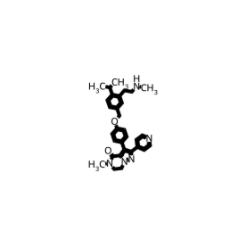 CNCCc1cc(COc2ccc(-c3c(-c4ccncc4)nn4c3C(=O)N(C)CC4)cc2)ccc1C(C)C